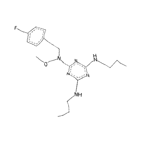 CCCNc1nc(NCCC)nc(N(Cc2ccc(F)cc2)OC)n1